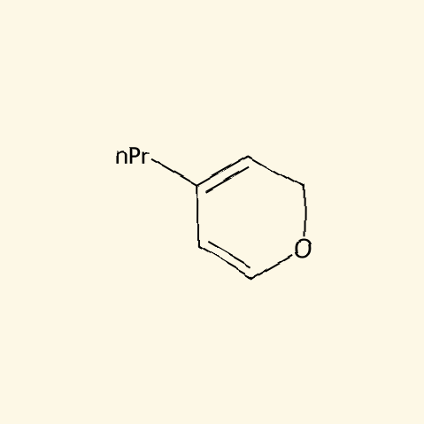 [CH2]CCC1=CCOC=C1